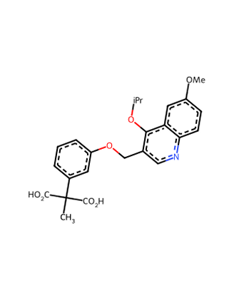 COc1ccc2ncc(COc3cccc(C(C)(C(=O)O)C(=O)O)c3)c(OC(C)C)c2c1